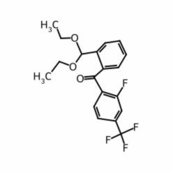 CCOC(OCC)c1ccccc1C(=O)c1ccc(C(F)(F)F)cc1F